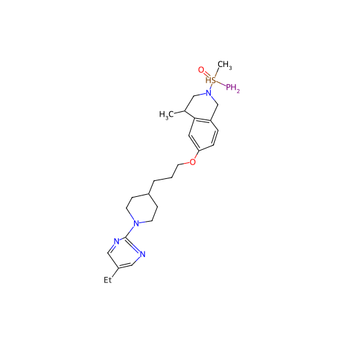 CCc1cnc(N2CCC(CCCOc3ccc4c(c3)C(C)CN([SH](C)(=O)P)C4)CC2)nc1